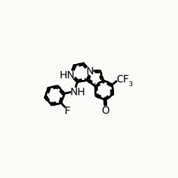 O=c1cc(C(F)(F)F)c2cn3cc[nH]c(Nc4ccccc4F)c3c2c1